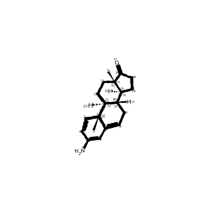 C[C@]12C=CC(N)=CC1=CC[C@@H]1[C@@H]2CC[C@]2(C)C(=O)CC[C@@H]12